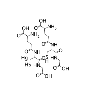 NC(CCC(=O)NC(CS)C(=O)NCC(=O)O)C(=O)O.NC(CCC(=O)NC(CS)C(=O)NCC(=O)O)C(=O)O.[Hg]